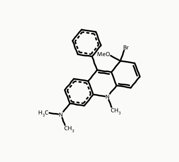 COC1(Br)C=CC=C2C1=C(c1ccccc1)c1ccc(N(C)C)cc1N2C